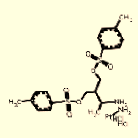 Cc1ccc(S(=O)(=O)OCC(COS(=O)(=O)c2ccc(C)cc2)C(C)N)cc1.Cl.Cl.[NH2][Pt]